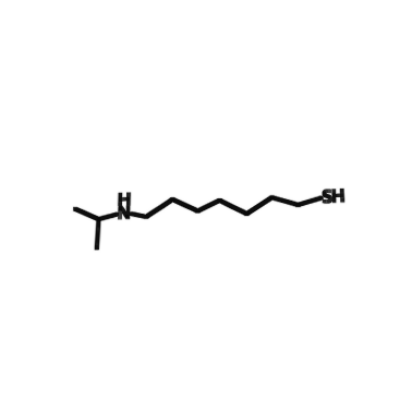 CC(C)NCCCCCCCS